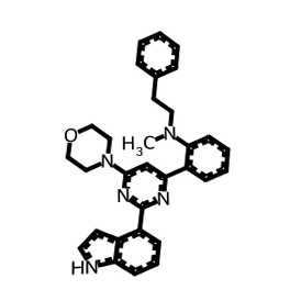 CN(CCc1ccccc1)c1ccccc1-c1cc(N2CCOCC2)nc(-c2cccc3[nH]ccc23)n1